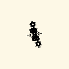 OC(c1ccccc1)(c1ccccc1)C(O)(c1ccc(-c2ccccc2)cc1)c1ccc(-c2ccccc2)cc1